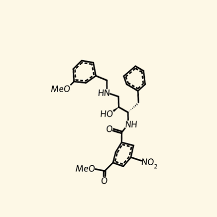 COC(=O)c1cc(C(=O)N[C@@H](Cc2ccccc2)[C@@H](O)CNCc2cccc(OC)c2)cc([N+](=O)[O-])c1